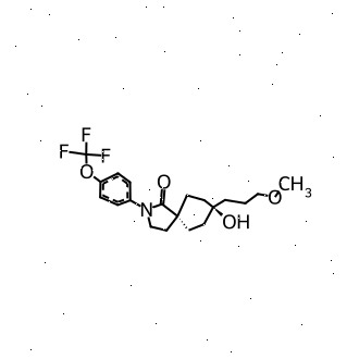 COCCC[C@]1(O)CC[C@@]2(CCN(c3ccc(OC(F)(F)F)cc3)C2=O)CC1